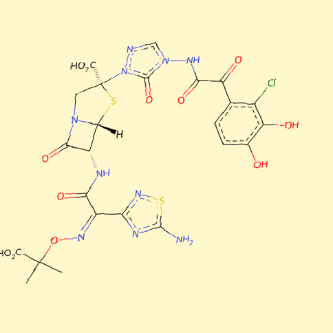 CC(C)(O/N=C(\C(=O)N[C@@H]1C(=O)N2C[C@@](C(=O)O)(n3ncn(NC(=O)C(=O)c4ccc(O)c(O)c4Cl)c3=O)S[C@H]12)c1nsc(N)n1)C(=O)O